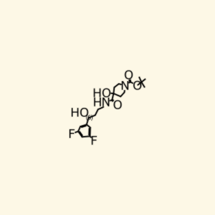 CC(C)(C)OC(=O)N1CCC(O)(C(=O)NCCC[C@H](O)c2cc(F)cc(F)c2)CC1